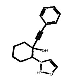 OC1(C#Cc2ccccc2)CCCCC1N1C=CON1